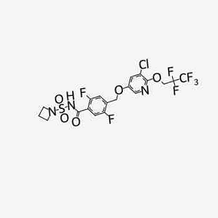 O=C(NS(=O)(=O)N1CCC1)c1cc(F)c(COc2cnc(OCC(F)(F)C(F)(F)F)c(Cl)c2)cc1F